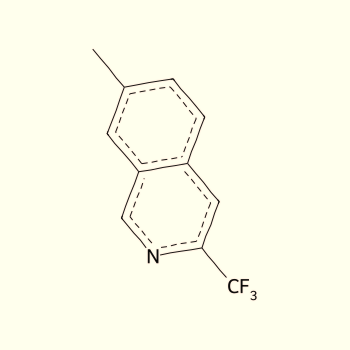 Cc1ccc2cc(C(F)(F)F)ncc2c1